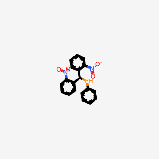 O=[N+]([O-])c1ccccc1C(Pc1ccccc1)c1ccccc1[N+](=O)[O-]